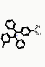 CC1C=CC=C(/C(=C(\c2ccccc2)c2ccc(B(O)O)cc2)c2ccccc2)C1